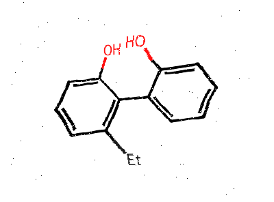 CCc1cccc(O)c1-c1ccccc1O